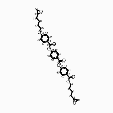 O=C(OCCCCC1CO1)c1ccc(OC(=O)c2ccc(OC(=O)c3ccc(OCCCCC4CO4)cc3)cc2)cc1